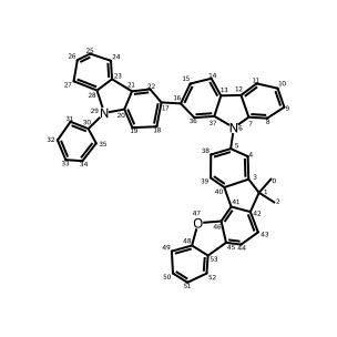 CC1(C)c2cc(-n3c4ccccc4c4ccc(-c5ccc6c(c5)c5ccccc5n6-c5ccccc5)cc43)ccc2-c2c1ccc1c2oc2ccccc21